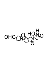 O=CC1CCN(c2ccc3c(c2Cl)CN(C2CCC(=O)NC2O)C3=O)CC1